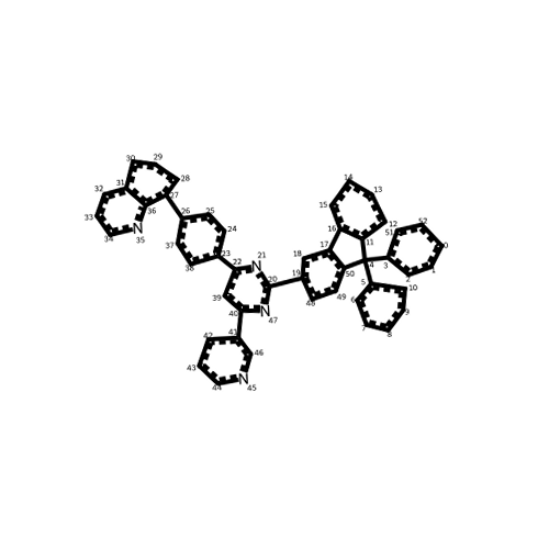 c1ccc(C2(c3ccccc3)c3ccccc3-c3cc(-c4nc(-c5ccc(-c6cccc7cccnc67)cc5)cc(-c5cccnc5)n4)ccc32)cc1